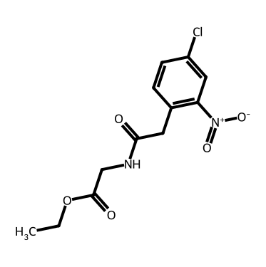 CCOC(=O)CNC(=O)Cc1ccc(Cl)cc1[N+](=O)[O-]